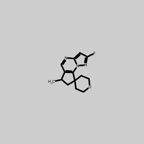 CC1CC2(CCOCC2)c2c1cnc1cc(F)nn21